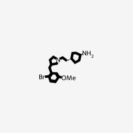 COc1ccc(Br)c(CC2CCN(CC[C@H]3CC[C@@H](N)CC3)C2)c1